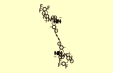 CC[C@H](NC)C(=O)N[C@@H](Cc1c(C)cc(OCC#CC#CCOc2cc(C)c(C[C@H](NC(=O)[C@H](CC)NC)C(=O)N3CC(C)(C)c4c3cc(Cc3cc(F)c(F)cc3F)c(=O)n4C)c(C)c2)cc1C)C(=O)N1CC(C)(C)c2c1cc(Cc1cc(F)c(F)cc1F)c(=O)n2C